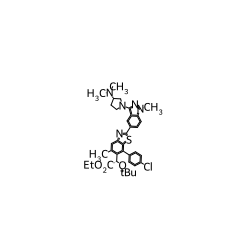 CCOC(=O)[C@@H](OC(C)(C)C)c1c(C)cc2nc(-c3ccc4c(c3)c(N3CC[C@@H](N(C)C)C3)nn4C)sc2c1-c1ccc(Cl)cc1